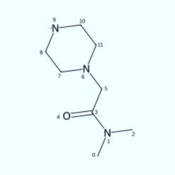 CN(C)C(=O)CN1CC[N]CC1